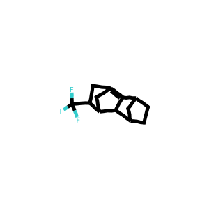 FC(F)(F)C1CC2=C3C4CCC(C4)C3C1C2